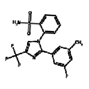 Cc1cc(F)cc(-c2nc(C(F)(F)F)cn2-c2ccccc2S(N)(=O)=O)c1